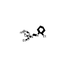 CCCOP(=NC=Nc1ccccc1CC)(OCC)SC(C)CC